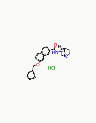 Cl.O=C(N[C@H]1CN2CCC1CC2)c1ccc2ccc(OCc3ccccc3)cc2c1